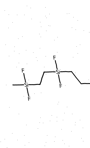 CCC[Si](F)(F)CC[Si](C)(F)F